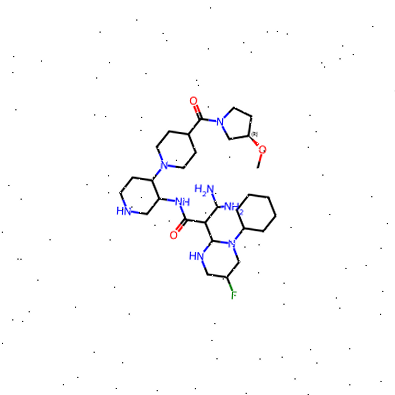 CO[C@@H]1CCN(C(=O)C2CCN(C3CCNCC3NC(=O)C(C(N)N)C3NCC(F)CN3C3CCCCC3)CC2)C1